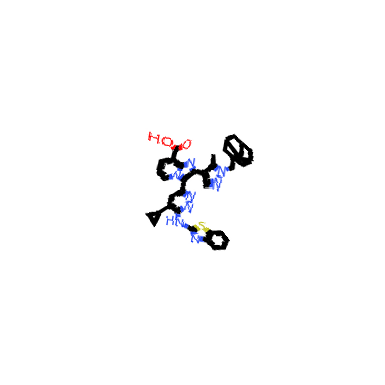 Cc1c(-c2nc3c(C(=O)O)cccn3c2-c2cc(C3CC3)c(Nc3nc4ccccc4s3)nn2)cnn1CC12CC3CC(CC(C3)C1)C2